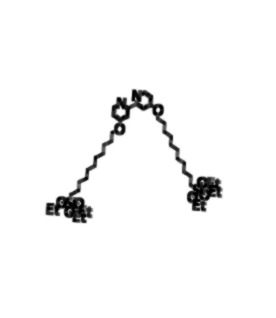 CCO[Si](CCCCCCCCCCCOc1ccnc(-c2cc(OCCCCCCCCCCC[Si](OCC)(OCC)OCC)ccn2)c1)(OCC)OCC